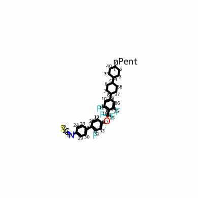 CCCCCC1CCC(C2CCC(c3cc(F)c(C(F)(F)Oc4ccc(-c5ccc(N=C=S)cc5)c(F)c4)c(F)c3)CC2)CC1